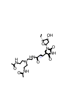 CC[C@H]1O[C@@H](n2cc(/C=C/C(=O)NCCN(CCNC(C)=O)CCNC(C)=O)c(=O)[nH]c2=O)C[C@H]1O